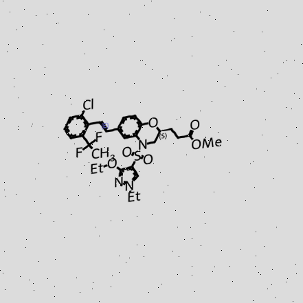 CCOc1nn(CC)cc1S(=O)(=O)N1C[C@H](CCC(=O)OC)Oc2ccc(/C=C/c3c(Cl)cccc3C(C)(F)F)cc21